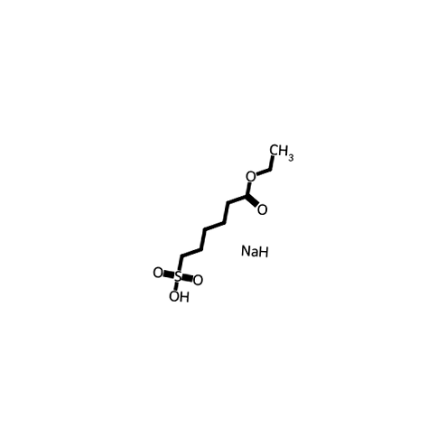 CCOC(=O)CCCCCS(=O)(=O)O.[NaH]